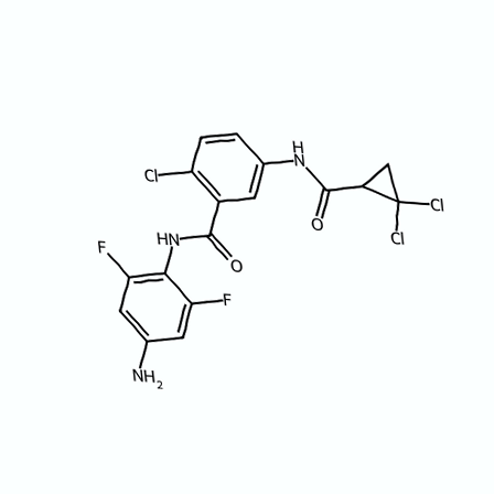 Nc1cc(F)c(NC(=O)c2cc(NC(=O)C3CC3(Cl)Cl)ccc2Cl)c(F)c1